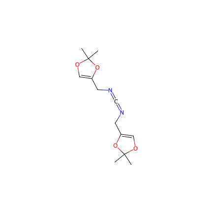 CC1(C)OC=C(CN=C=NCC2=COC(C)(C)O2)O1